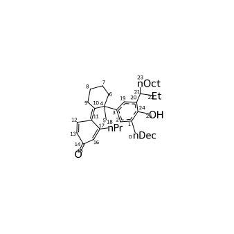 CCCCCCCCCCc1cc(C2(C)CCCCC2=C2C=CC(=O)C=C2CCC)cc(C(CC)CCCCCCCC)c1O